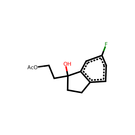 CC(=O)OCCC1(O)CCc2ccc(F)cc21